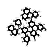 Cc1ccc(-c2cc(N(c3ccccc3)c3cccc4ccccc34)ccc2-c2cc(C)c(C)cc2-c2ccc(N(c3ccccc3)c3cccc4ccccc34)cc2-c2ccc(C)cc2)cc1